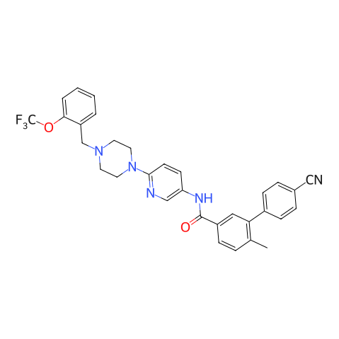 Cc1ccc(C(=O)Nc2ccc(N3CCN(Cc4ccccc4OC(F)(F)F)CC3)nc2)cc1-c1ccc(C#N)cc1